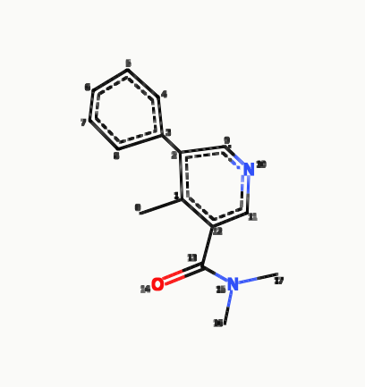 Cc1c(-c2ccccc2)[c]ncc1C(=O)N(C)C